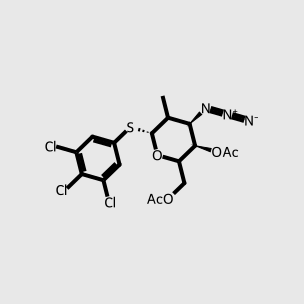 CC(=O)OCC1O[C@H](Sc2cc(Cl)c(Cl)c(Cl)c2)C(C)[C@@H](N=[N+]=[N-])[C@H]1OC(C)=O